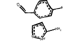 Nc1ccn[nH]1.O=Cc1ccc(F)cc1